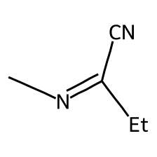 CCC(C#N)=NC